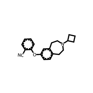 N#Cc1ccccc1Oc1ccc2c(c1)CCN(C1CCC1)CC2